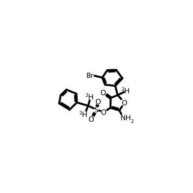 [2H]C1(c2cccc(Br)c2)OC(N)=C(OS(=O)(=O)C([2H])([2H])c2ccccc2)C1=O